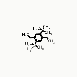 CCc1cc([Si](C)(C)C)c(CC)cc1[Si](C)(C)C